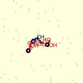 CC(CC1CCC(P(=O)(O)COc2ccccc2)CC1)NCC(O)COc1ccc(O)c(CO)c1